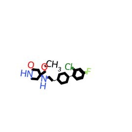 COCC1(NCC[C@H]2CC[C@@H](c3ccc(F)cc3Cl)CC2)CCNC(=O)C1